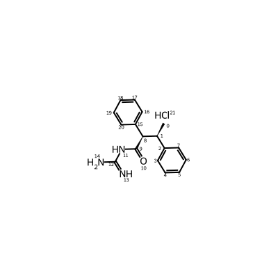 C[C@@H](c1ccccc1)[C@@H](C(=O)NC(=N)N)c1ccccc1.Cl